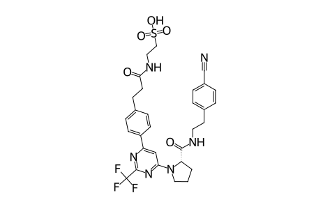 N#Cc1ccc(CCNC(=O)[C@@H]2CCCN2c2cc(-c3ccc(CCC(=O)NCCS(=O)(=O)O)cc3)nc(C(F)(F)F)n2)cc1